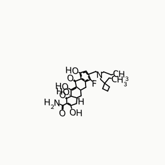 CCCN(Cc1cc(O)c2c(c1F)CC1C[C@H]3CC(O)=C(C(N)=O)C(=O)[C@@]3(O)C(O)=C1C2=O)CC1(CC)CCC1